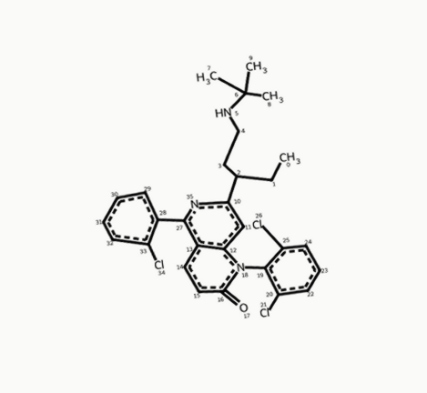 CCC(CCNC(C)(C)C)c1cc2c(ccc(=O)n2-c2c(Cl)cccc2Cl)c(-c2ccccc2Cl)n1